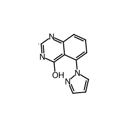 Oc1n[c]nc2cccc(-n3cccn3)c12